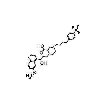 COc1ccc2nccc([C@H](O)CC[C@@H]3CCN(CCCCc4ccc(C(F)(F)F)cc4)C[C@@H]3C(=O)O)c2c1